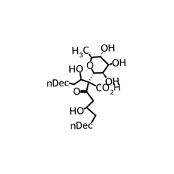 CCCCCCCCCCCC(O)CC(=O)C(C(=O)O)(C(O)CCCCCCCCCCC)[C@@H]1O[C@@H](C)[C@H](O)[C@@H](O)[C@H]1O